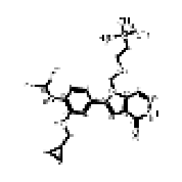 C[Si](C)(C)CCOCn1c(-c2ccc(OC(F)F)c(OCC3CC3)c2)cc2c(=O)[nH]ncc21